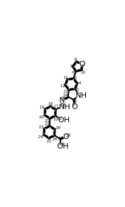 O=C1Nc2cc(-c3ccoc3)ccc2C1=NNc1cccc(-c2cccc(C(=O)O)c2)c1O